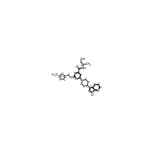 C[C@H](CO)NC(=O)c1cc(N2CCC(c3n[nH]c4ncccc34)CC2)nc(OC[C@H]2CC[C@H](C)O2)n1